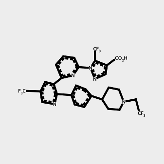 O=C(O)c1cnn(-c2cccc(-c3cc(C(F)(F)F)cnc3-c3ccc(C4CCN(CC(F)(F)F)CC4)cc3)n2)c1C(F)(F)F